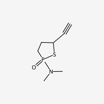 C#CC1CCP(=O)(N(C)C)S1